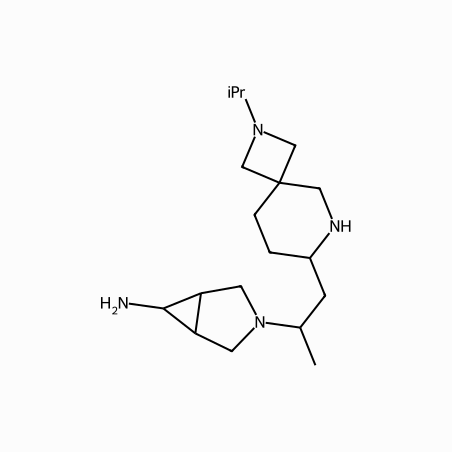 CC(C)N1CC2(CCC(CC(C)N3CC4C(N)C4C3)NC2)C1